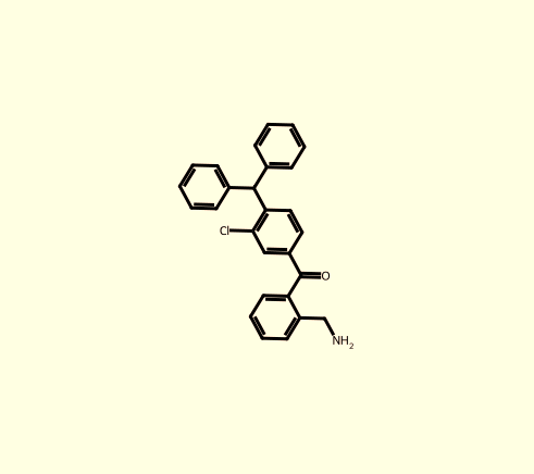 NCc1ccccc1C(=O)c1ccc([C](c2ccccc2)c2ccccc2)c(Cl)c1